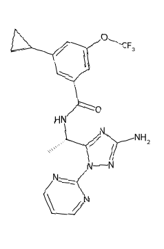 C[C@H](NC(=O)c1cc(OC(F)(F)F)cc(C2CC2)c1)c1nc(N)nn1-c1ncccn1